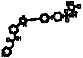 CCC(C)(NS(=O)(=O)N1CCN(c2ccc(C#Cc3nc(-c4cccc(NC(=O)Cc5ccncc5)c4)cs3)cc2)CC1)C(=O)O